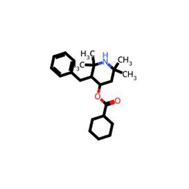 CC1(C)CC(OC(=O)C2CCCCC2)C(Cc2ccccc2)C(C)(C)N1